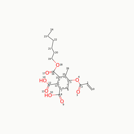 C=CC(=O)Oc1cc(C(=O)O)c(C(=O)O)c(C(=O)OCCCCCC)c1C